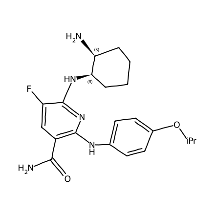 CC(C)Oc1ccc(Nc2nc(N[C@@H]3CCCC[C@@H]3N)c(F)cc2C(N)=O)cc1